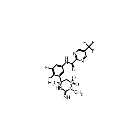 CN1C(=N)N[C@](C)(c2cc(NC(=O)c3ncc(C(F)(F)F)cn3)cc(F)c2F)CS1(=O)=O